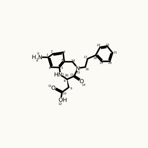 Nc1ccc2c(c1)N[C@H](CC(=O)O)C(=O)N(CCc1ccccc1)C2